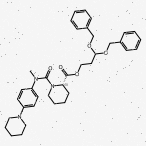 CN(C(=O)N1CCCC[C@H]1C(=O)OCCC(OCc1ccccc1)OCc1ccccc1)c1ccc(N2CCCCC2)cc1